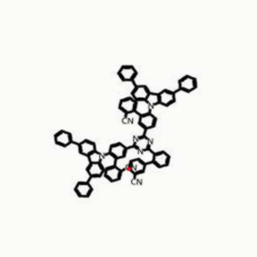 N#Cc1cccc(-c2ccccc2-c2nc(-c3ccc(-n4c5ccc(-c6ccccc6)cc5c5cc(-c6ccccc6)ccc54)c(-c4ccccc4C#N)c3)nc(-c3ccc(-n4c5ccc(-c6ccccc6)cc5c5cc(-c6ccccc6)ccc54)c(-c4ccccc4C#N)c3)n2)c1